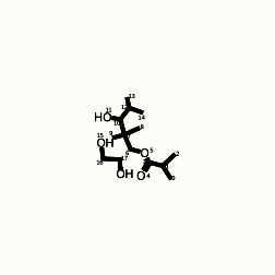 CC(C)C(=O)OCC(C)(C)C(O)C(C)C.OCCO